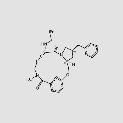 CC(C)CN[C@H]1CCCN(C)C(=O)c2cccc(c2)OC[C@@H]2C[C@H](Cc3ccccc3)CN2C1=O